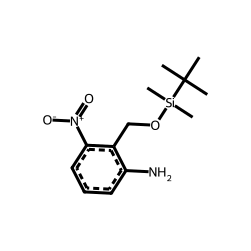 CC(C)(C)[Si](C)(C)OCc1c(N)cccc1[N+](=O)[O-]